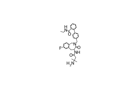 CCNC(=O)c1ccccc1-c1ccc(CN2Cc3ccc(F)cc3CC(NC(=O)CC(C)(C)N)C2=O)cc1